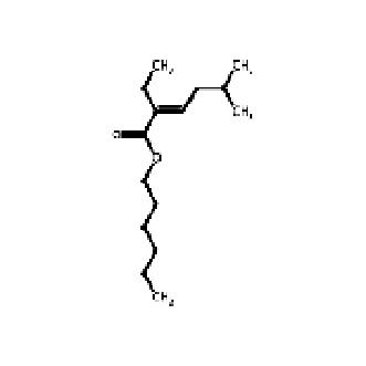 CCCCCCOC(=O)C(=CCC(C)C)CC